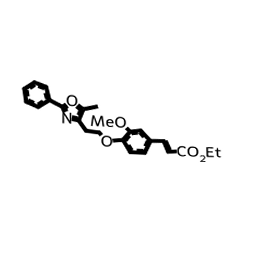 CCOC(=O)/C=C/c1ccc(OCCc2nc(-c3ccccc3)oc2C)c(OC)c1